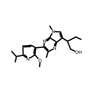 CCC(CO)c1cn(C)c2nc(-c3ccc(C(C)C)nc3OC)c(C)nc12